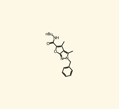 CCCCNC(=O)c1oc2nn(Cc3ccccc3)c(C)c2c1C